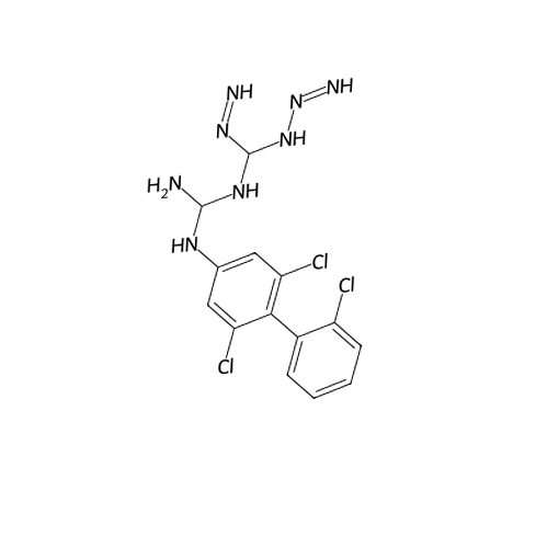 N=NNC(N=N)NC(N)Nc1cc(Cl)c(-c2ccccc2Cl)c(Cl)c1